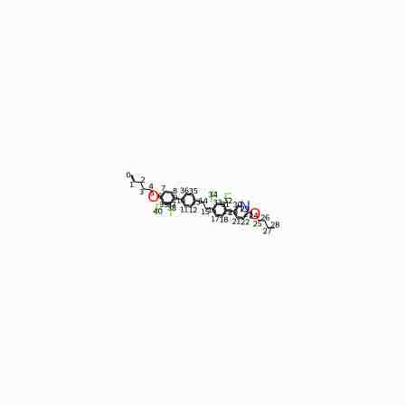 C=CCCCOc1ccc(-c2ccc(CCc3ccc(-c4ccc(OCCCC)nc4)c(F)c3F)cc2)c(F)c1F